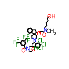 CN(CCCCCO)C(=O)CO[C@H]1Cc2ccccc2C12CCN(CC[C@@]1(c3ccc(Cl)c(Cl)c3)CN(C(=O)c3cc(C(F)(F)F)cc(C(F)(F)F)c3)CCO1)CC2.Cl